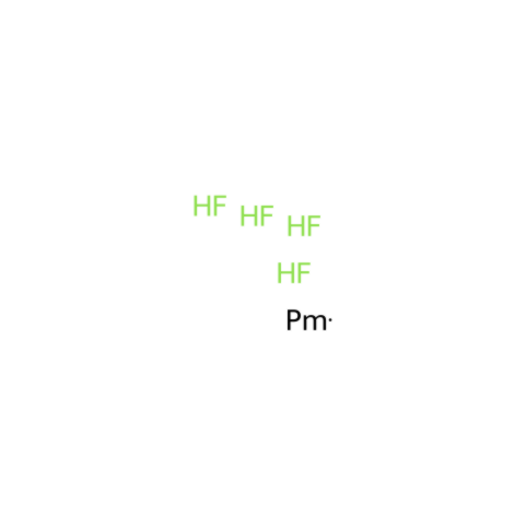 F.F.F.F.[Pm]